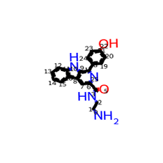 NCCNC(=O)c1cc2c([nH]c3ccccc32)c(-c2ccc(O)cc2)n1